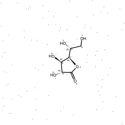 O=C1O[C@H]([C@H](O)CO)[C@H](O)[C@H]1O